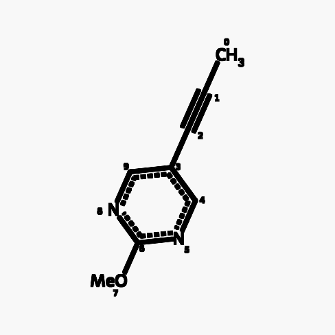 CC#Cc1cnc(OC)nc1